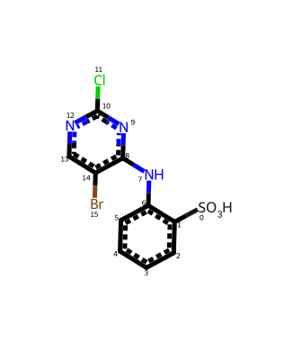 O=S(=O)(O)c1ccccc1Nc1nc(Cl)ncc1Br